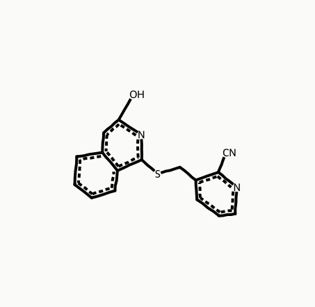 N#Cc1ncccc1CSc1nc(O)cc2ccccc12